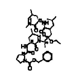 CCOP(=O)(CC(CC(C)C)C(=O)N[C@@H](CC(C)C)C(=O)NC)[C@H](C)NC(=O)[C@@H](CC(C)C)NC(=O)[C@@H]1CCCN1C(=O)OCc1ccccc1